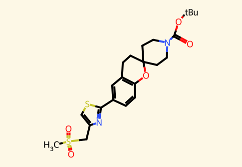 CC(C)(C)OC(=O)N1CCC2(CCc3cc(-c4nc(CS(C)(=O)=O)cs4)ccc3O2)CC1